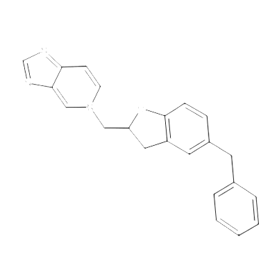 c1ccc(Cc2ccc3c(c2)CC(Cn2ccc4ncnc-4c2)O3)cc1